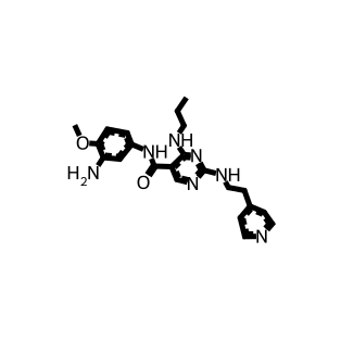 CCCNc1nc(NCCc2ccncc2)ncc1C(=O)Nc1ccc(OC)c(N)c1